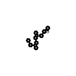 c1ccc(-c2cccc(C3c4ccccc4-c4ccc(-c5ccc6c7ccccc7n(-c7cccc(-c8ccc9c(c8)oc8ccccc89)c7)c6c5)cc43)c2)cc1